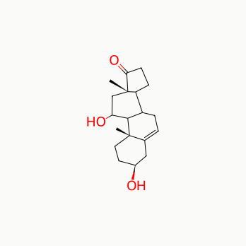 C[C@]12CC[C@H](O)CC1=CCC1C2C(O)C[C@]2(C)C(=O)CCC12